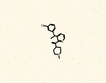 C=C(c1ncccc1C(C)c1cccc(Cl)c1)C1CCN(C)CC1